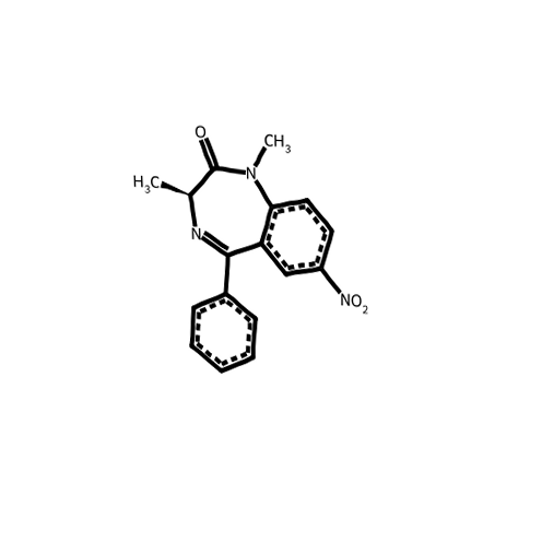 C[C@@H]1N=C(c2ccccc2)c2cc([N+](=O)[O-])ccc2N(C)C1=O